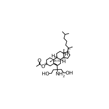 CC(=O)O[C@H]1CC[C@@]2(C)C(=C(C(N)(CCO)CCO)C[C@H]3[C@@H]4CC[C@H]([C@H](C)CCCC(C)C)[C@@]4(C)CC[C@@H]32)C1